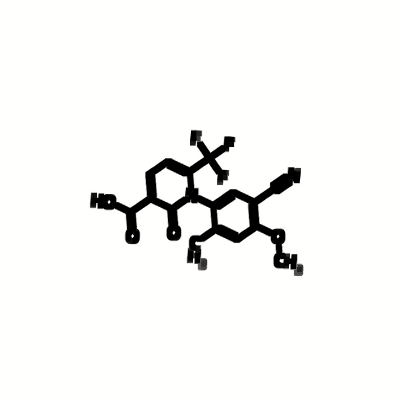 COc1cc(C)c(-n2c(C(F)(F)F)ccc(C(=O)O)c2=O)cc1C#N